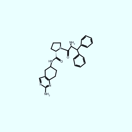 Nc1ncc2c(n1)CCC(NC(=O)[C@@H]1CCCN1C(=O)[C@@H](N)C(c1ccccc1)c1ccccc1)C2